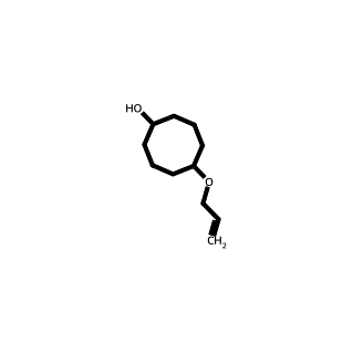 C=CCOC1CCCC(O)CCC1